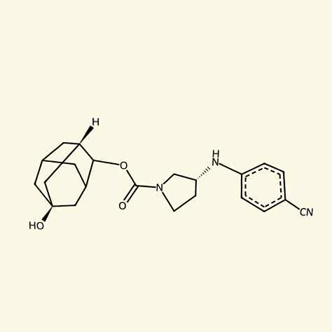 N#Cc1ccc(N[C@@H]2CCN(C(=O)OC3C4CC5C[C@H]3C[C@@](O)(C5)C4)C2)cc1